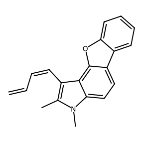 C=C/C=C\c1c(C)n(C)c2ccc3c4ccccc4oc3c12